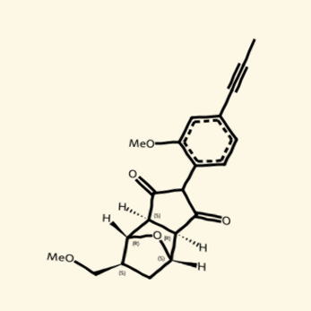 CC#Cc1ccc(C2C(=O)[C@@H]3[C@@H]4O[C@@H](C[C@H]4COC)[C@@H]3C2=O)c(OC)c1